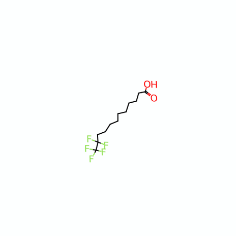 O=C(O)CCCCCCCCCC(F)(F)C(F)(F)F